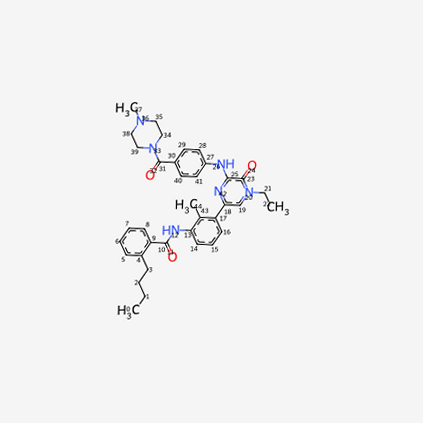 CCCCc1ccccc1C(=O)Nc1cccc(-c2cn(CC)c(=O)c(Nc3ccc(C(=O)N4CCN(C)CC4)cc3)n2)c1C